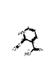 O=C=C1NC=CC=C1C(=O)O